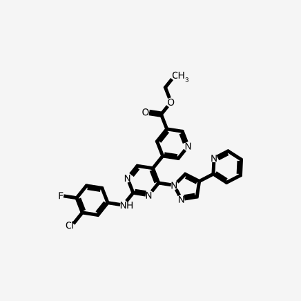 CCOC(=O)c1cncc(-c2cnc(Nc3ccc(F)c(Cl)c3)nc2-n2cc(-c3ccccn3)cn2)c1